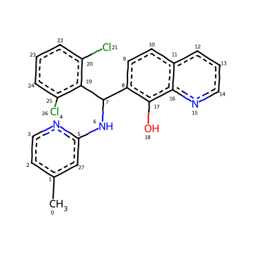 Cc1ccnc(NC(c2ccc3cccnc3c2O)c2c(Cl)cccc2Cl)c1